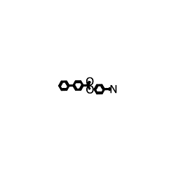 N#Cc1ccc(OC(=O)c2ccc(-c3ccccc3)cc2)cc1